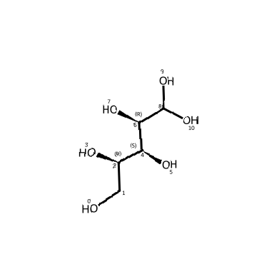 OC[C@@H](O)[C@H](O)[C@@H](O)C(O)O